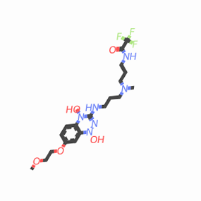 COCCOc1ccc2c(c1)N(O)N=C(NCCCN(C)CCCNC(=O)C(F)(F)F)N2O